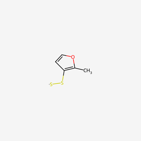 Cc1occc1S[S]